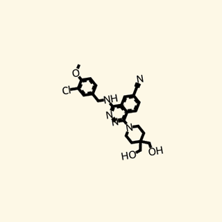 COc1ccc(CNc2nnc(N3CCC(CO)(CO)CC3)c3ccc(C#N)cc23)cc1Cl